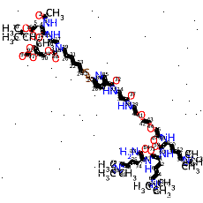 CC(=O)N[C@@H](CC(=O)OC(C)(C)C)C(=O)NCCN(CCCCCCSSc1ccc(C(=O)NCCC(=O)NCCOCCOCC(=O)N[C@@H](CCCC[N+](C)(C)C)C(=O)N[C@@H](CCCC[N+](C)(C)C)C(=O)N[C@@H](CCCC[N+](C)(C)C)C(N)=O)cn1)C(=O)OCc1oc(=O)oc1C